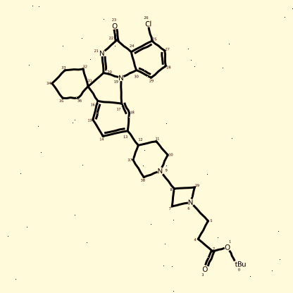 CC(C)(C)OC(=O)CCN1CC(N2CCC(c3ccc4c(c3)-n3c(nc(=O)c5c(Cl)cccc53)C43CCCCC3)CC2)C1